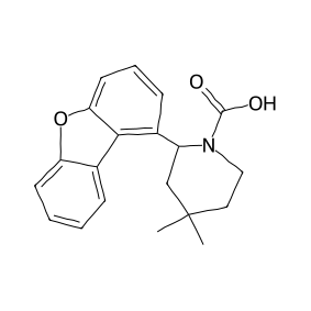 CC1(C)CCN(C(=O)O)C(c2cccc3oc4ccccc4c23)C1